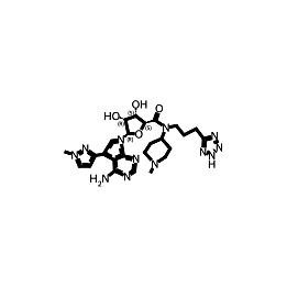 CN1CCC(N(CCCc2nn[nH]n2)C(=O)[C@H]2O[C@@H](n3cc(-c4ccn(C)n4)c4c(N)ncnc43)[C@H](O)[C@@H]2O)CC1